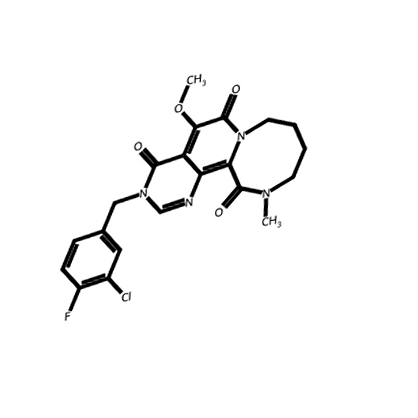 COc1c(=O)n2c(c3ncn(Cc4ccc(F)c(Cl)c4)c(=O)c13)C(=O)N(C)CCCC2